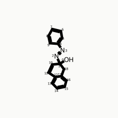 OC1(N=Nc2ccccc2)C=Cc2ccccc2C1